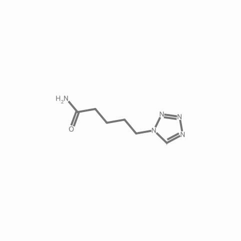 NC(=O)CCCCn1[c]nnn1